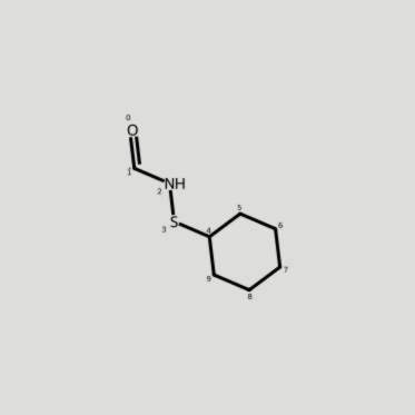 O=[C]NSC1CCCCC1